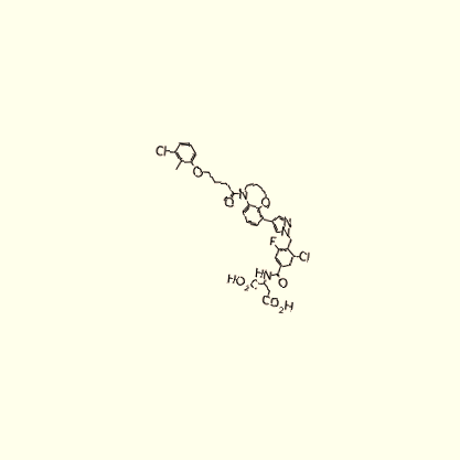 Cc1c(Cl)cccc1OCCCC(=O)N1CCCOc2c(-c3cnn(Cc4c(F)cc(C(=O)NC(CC(=O)O)C(=O)O)cc4Cl)c3)cccc21